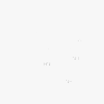 C=CCCC1CC(=O)NC(=N)N1